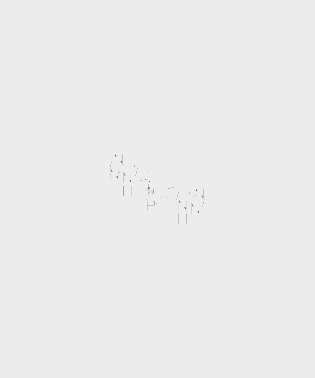 O=[PH](Oc1ccc2c(c1)Nc1nccnc1S2)Oc1ccc2c(c1)Nc1nccnc1S2